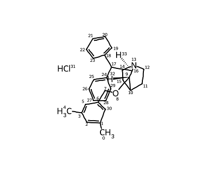 Cc1cc(C)cc(CO[C@H]2C3CCN(CC3)[C@@H]2C(c2ccccc2)c2ccccc2)c1.Cl